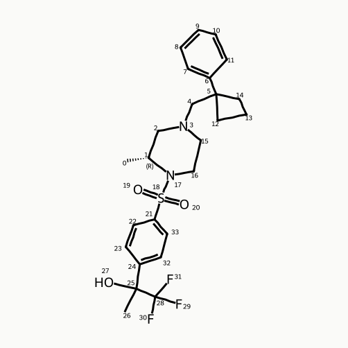 C[C@@H]1CN(CC2(c3ccccc3)CCC2)CCN1S(=O)(=O)c1ccc(C(C)(O)C(F)(F)F)cc1